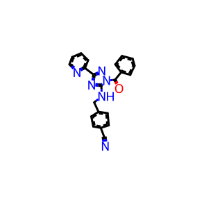 N#Cc1ccc(CNc2nc(-c3ccccn3)nn2C(=O)c2ccccc2)cc1